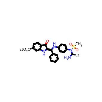 CCOC(=O)c1ccc2c(c1)NC(=C(Nc1ccc(N(C(N)CC)S(C)(=O)=O)cc1)c1ccccc1)C2=O